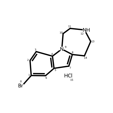 Brc1ccc2c(c1)cc1n2CCNCC1.Cl